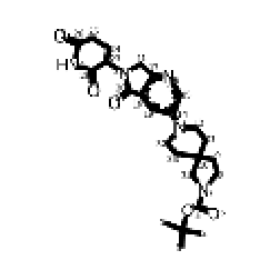 CC(C)(C)OC(=O)N1CCC2(CCN(c3cnc4c(c3)C(=O)N(C3CCC(=O)NC3=O)C4)CC2)C1